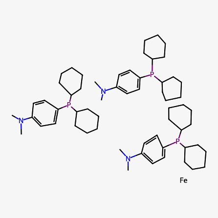 CN(C)c1ccc(P(C2CCCCC2)C2CCCCC2)cc1.CN(C)c1ccc(P(C2CCCCC2)C2CCCCC2)cc1.CN(C)c1ccc(P(C2CCCCC2)C2CCCCC2)cc1.[Fe]